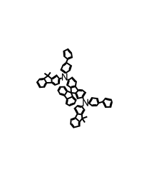 CC1(C)c2ccccc2-c2ccc(N(c3ccc(-c4ccccc4)cc3)c3ccc4c(c3)C3(c5ccccc5-c5ccccc53)c3cc(N(c5ccc(-c6ccccc6)cc5)c5ccc6c(c5)C(C)(C)c5ccccc5-6)ccc3-4)cc21